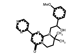 COc1cccc(C(O)CN2c3nc(-c4ccncn4)cc(=O)n3CCC2(C)C)c1